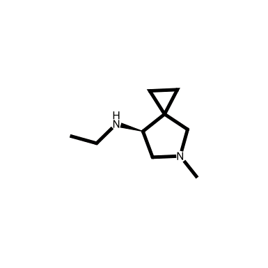 CCN[C@@H]1CN(C)CC12CC2